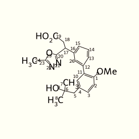 COc1ccc(CC(C)(C)O)cc1-c1cccc(C(CC(=O)O)c2nnc(C)o2)c1